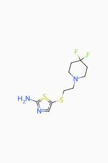 Nc1ncc(SCCN2CCC(F)(F)CC2)s1